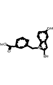 COC(=O)c1cccc(Cn2c(C(C)(C)C)cc3cc(OC)ccc32)c1